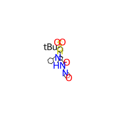 Cc1c(C(=O)NCCN2CCOCC2)cc(-c2ccc([SH](=O)=O)c(C(C)(C)C)c2)n1CC1CCCCC1